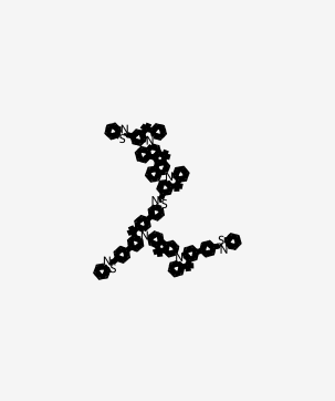 CC1(C)c2cc(N3c4ccccc4C(C)(C)c4cc(-c5ccc(-c6nc7ccccc7s6)cc5)ccc43)ccc2-c2ccc(N3c4cc(-c5ccc6sc(-c7ccc8c(c7)C(C)(C)c7ccccc7N8c7cc8c(c9ccccc79)-c7c(cc(N9c%10ccccc%10C(C)(C)c%10cc(-c%11nc%12ccccc%12s%11)ccc%109)c9ccccc79)C8(C)C)nc6c5)ccc4C(C)(C)c4cc(-c5ccc(-c6nc7ccccc7s6)cc5)ccc43)cc21